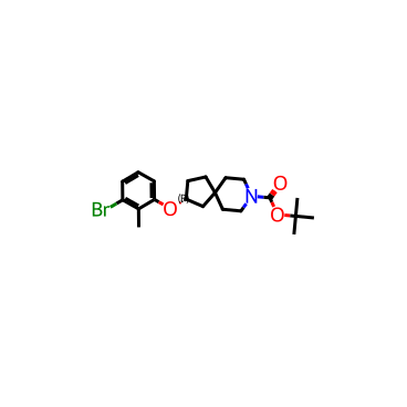 Cc1c(Br)cccc1O[C@@H]1CCC2(CCN(C(=O)OC(C)(C)C)CC2)C1